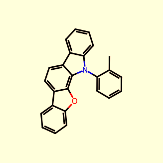 Cc1ccccc1-n1c2ccccc2c2ccc3c4ccccc4oc3c21